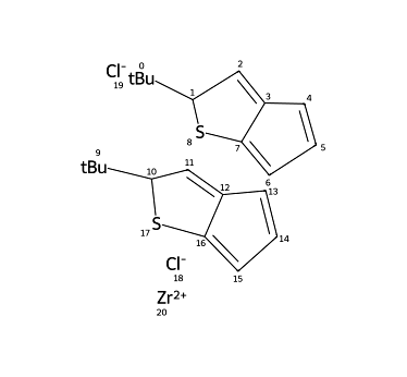 CC(C)(C)C1C=C2C=CC=C2S1.CC(C)(C)C1C=C2C=CC=C2S1.[Cl-].[Cl-].[Zr+2]